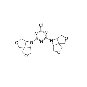 Clc1nc(N2C3COCC34COCC24)nc(N2C3COCC34COCC24)n1